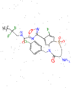 CC(F)(F)CNC(=O)c1nc(-c2cc3c(cc2F)S(=O)(=O)C[C@H](N)C(=O)N3Cc2ccc(Cl)cc2)no1